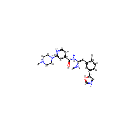 C=N/C(=C\c1cc(-c2cnco2)ccc1C)NC(=O)c1ccnc(N2CCN(C)CC2)c1